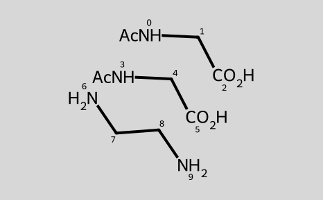 CC(=O)NCC(=O)O.CC(=O)NCC(=O)O.NCCN